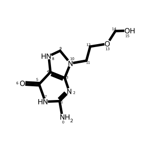 Nc1nc2c(c(=O)[nH]1)NCN2CCOCO